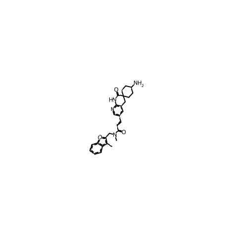 Cc1c(CN(C)C(=O)/C=C/c2cnc3c(c2)CC2(CCC(N)CC2)C(=O)N3)oc2ccccc12